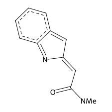 CNC(=O)C=C1C=c2ccccc2=N1